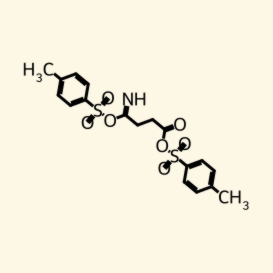 Cc1ccc(S(=O)(=O)OC(=N)CCC(=O)OS(=O)(=O)c2ccc(C)cc2)cc1